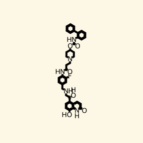 O=C(CCN1CCC(OC(=O)Nc2ccccc2-c2ccccc2)CC1)Nc1ccc(CNC[C@H](O)c2ccc(O)c3[nH]c(=O)ccc23)cc1F